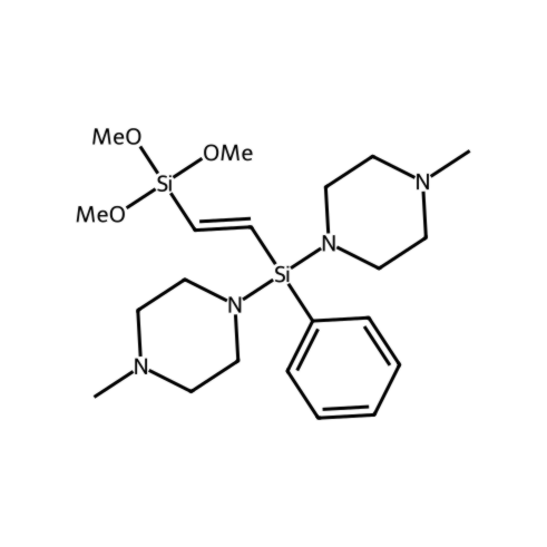 CO[Si](C=C[Si](c1ccccc1)(N1CCN(C)CC1)N1CCN(C)CC1)(OC)OC